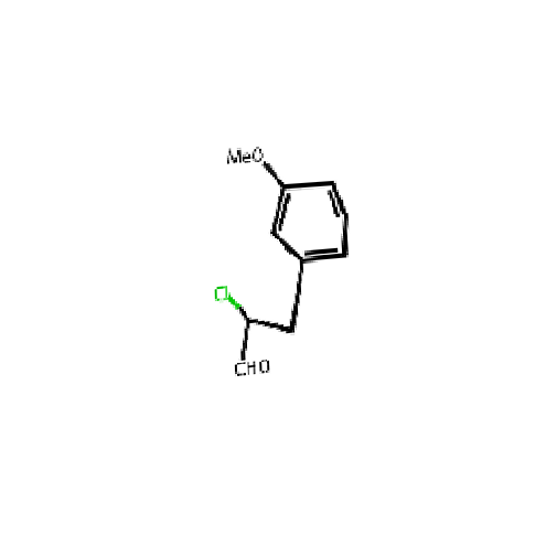 COc1cccc(CC(Cl)C=O)c1